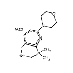 CC1(C)CNCc2ccc(N3CCOCC3)nc21.Cl